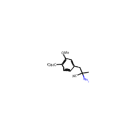 COc1cc(CC(C)(N)C#N)ccc1C=O